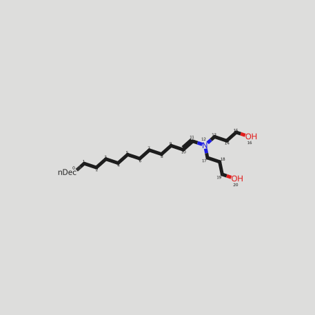 CCCCCCCCCCCCCCCCCCCC=CN(CCCO)CCCO